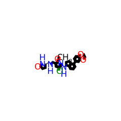 COc1nc(N[C@H]2CCc3c(-c4ccc5c(c4)OCCO5)cccc32)c(Cl)cc1CNC[C@@H]1CCC(=O)N1